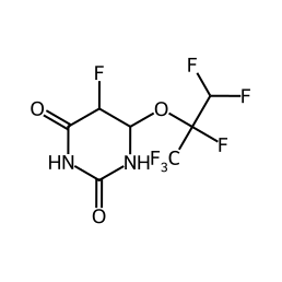 O=C1NC(=O)C(F)C(OC(F)(C(F)F)C(F)(F)F)N1